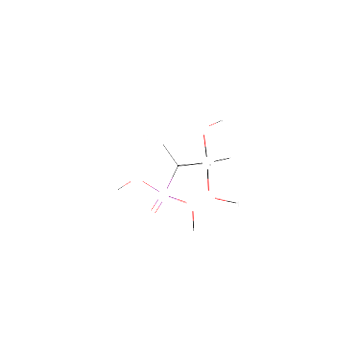 CCO[Si](C)(OCC)C(C)P(=O)(OCC)OCC